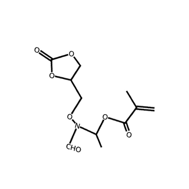 C=C(C)C(=O)OC(C)N(C=O)OCC1COC(=O)O1